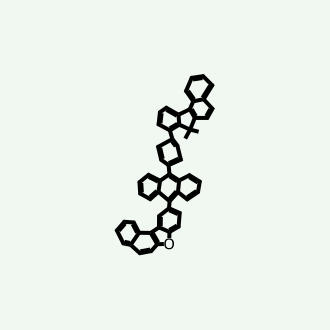 CC1(C)c2ccc3ccccc3c2-c2cccc(-c3ccc(-c4c5ccccc5c(-c5ccc6oc7ccc8ccccc8c7c6c5)c5ccccc45)cc3)c21